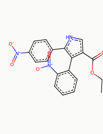 CCOC(=O)c1c[nH]c(-c2ccc([N+](=O)[O-])cc2)c1-c1ccccc1[N+](=O)[O-]